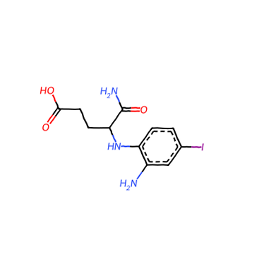 NC(=O)C(CCC(=O)O)Nc1ccc(I)cc1N